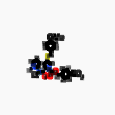 CCN(C(=O)[C@@H]1C[C@H](SCc2ccc(OC)cc2)CN1C(=O)OCc1ccc([N+](=O)[O-])cc1)C1CCCN1C